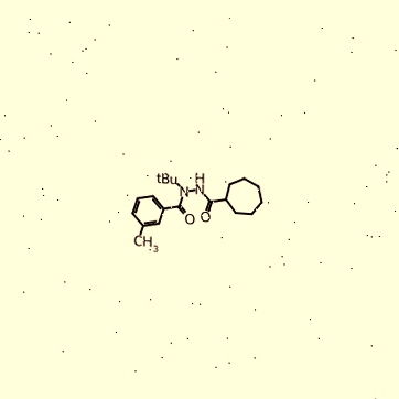 Cc1cccc(C(=O)N(NC(=O)C2CCCCCC2)C(C)(C)C)c1